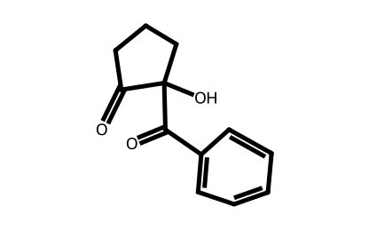 O=C1CCCC1(O)C(=O)c1ccccc1